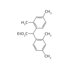 CCOC(=O)C(c1ccc(C)cc1C)c1ccc(C)cc1C